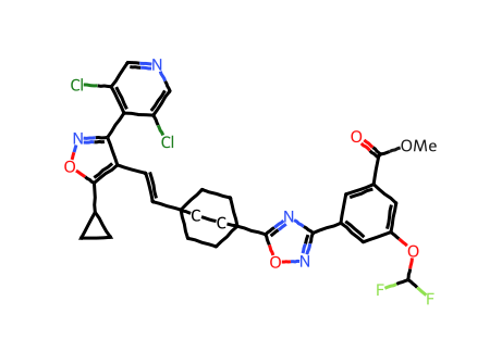 COC(=O)c1cc(OC(F)F)cc(-c2noc(C34CCC(C=Cc5c(-c6c(Cl)cncc6Cl)noc5C5CC5)(CC3)CC4)n2)c1